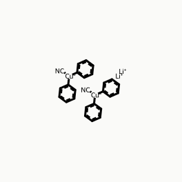 N#[C][Cu-]([c]1ccccc1)[c]1ccccc1.N#[C][Cu-]([c]1ccccc1)[c]1ccccc1.[Li+].[Li+]